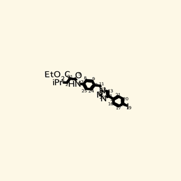 CCOC(=O)C(CC(C)C)C(=O)Nc1ccc(Cn2cc(-c3ccc(I)cc3)nn2)cc1